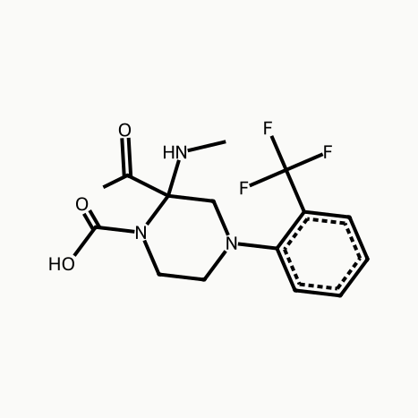 CNC1(C(C)=O)CN(c2ccccc2C(F)(F)F)CCN1C(=O)O